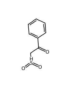 O=C(C[SH](=O)=O)c1ccccc1